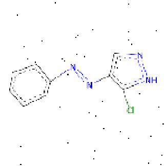 Clc1[nH]ncc1N=Nc1ccccc1